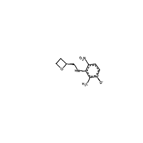 Cc1c(NC[C@@H]2CCO2)c([N+](=O)[O-])cc[n+]1[O-]